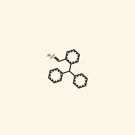 C=Cc1ccccc1C(c1ccccc1)c1ccccc1